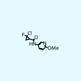 COc1ccc(NC(=O)C2CC2(F)Cl)cn1